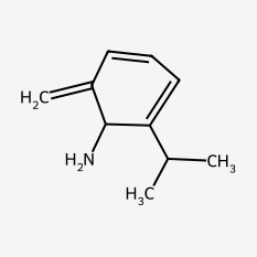 C=C1C=CC=C(C(C)C)C1N